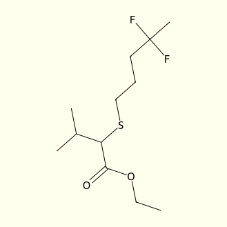 CCOC(=O)C(SCCCC(C)(F)F)C(C)C